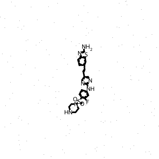 Nc1nc2ccc(C=Cc3cnc(Nc4ccc(S(=O)(=O)N5CCNCC5)c(F)c4)nc3)cc2s1